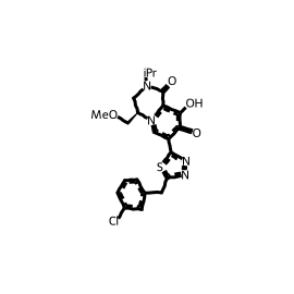 COC[C@H]1CN(C(C)C)C(=O)c2c(O)c(=O)c(-c3nnc(Cc4cccc(Cl)c4)s3)cn21